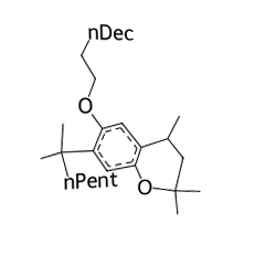 CCCCCCCCCCCCOc1cc2c(cc1C(C)(C)CCCCC)OC(C)(C)CC2C